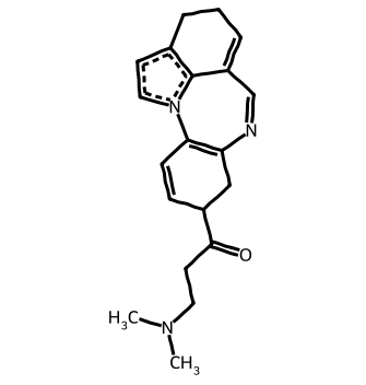 CN(C)CCC(=O)C1C=CC2=C(C1)N=CC1=CCCc3ccn2c31